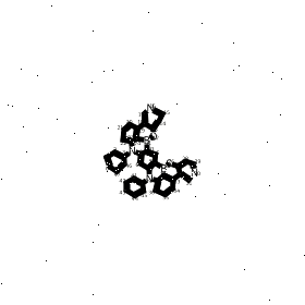 c1ccc(N2c3cc4c(cc3B3Oc5ccncc5-c5cccc2c53)B2Sc3ccncc3-c3cccc(c32)N4c2ccccc2)cc1